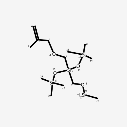 C=C(C)COC[Si](CO[SiH2]C)(O[Si](C)(C)C)O[Si](C)(C)C